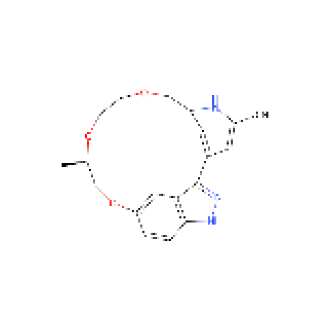 C[C@@H]1COc2ccc3[nH]nc(c3c2)C2=CC(COCCO1)NC(C#N)=C2